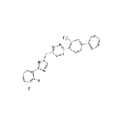 Fc1cccc(C2=NC(Cc3ccc(-c4ccc(-c5ccccc5)cc4C(F)(F)F)nn3)C=N2)c1F